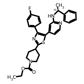 CCOC(=O)N1CCC(c2nc(-c3ccc(F)cc3)c(-c3ccnc(N[C@@H](C)c4ccccc4)c3)s2)CC1